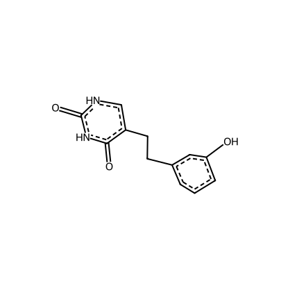 O=c1[nH]cc(CCc2cccc(O)c2)c(=O)[nH]1